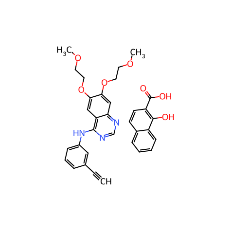 C#Cc1cccc(Nc2ncnc3cc(OCCOC)c(OCCOC)cc23)c1.O=C(O)c1ccc2ccccc2c1O